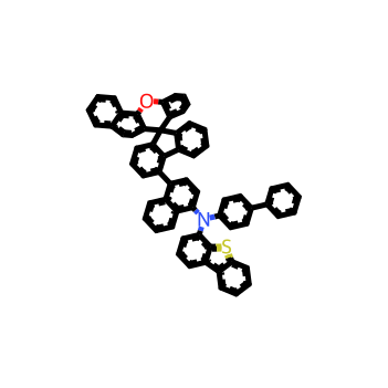 c1ccc(-c2ccc(N(c3ccc(-c4cccc5c4-c4ccccc4C54c5ccccc5Oc5c4ccc4ccccc54)c4ccccc34)c3cccc4c3sc3ccccc34)cc2)cc1